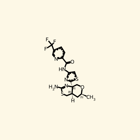 C[C@H]1C[C@H]2CSC(N)=N[C@@]2(c2nc(NC(=O)c3ccc(C(F)(F)F)cn3)cs2)CO1